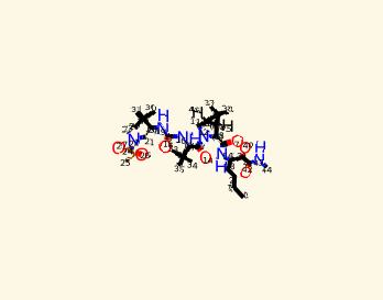 CCCCC(NC(=O)[C@@H]1[C@@H]2[C@H](CN1C(=O)[C@@H](NC(=O)N[C@H](CN(C)S(C)(=O)=O)C(C)(C)C)C(C)(C)C)C2(C)C)C(=O)C(=O)NC